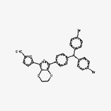 O=Cc1ccc(-c2sc(-c3ccc(N(c4ccc(Br)cc4)c4ccc(Br)cc4)cc3)c3c2OCCO3)s1